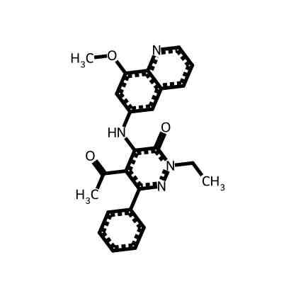 CCn1nc(-c2ccccc2)c(C(C)=O)c(Nc2cc(OC)c3ncccc3c2)c1=O